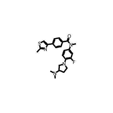 Cc1nc(-c2ccc(C(=O)N(C)c3ccc(N4CCC(N(C)C)C4)c(F)c3)cc2)cs1